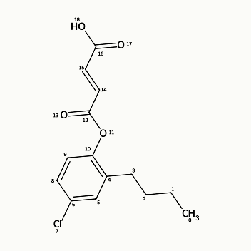 CCCCc1cc(Cl)ccc1OC(=O)C=CC(=O)O